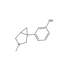 CN1CC2CC2(c2cccc(O)c2)C1